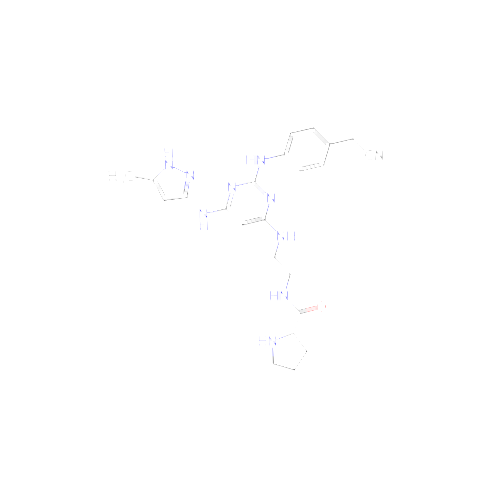 Cc1cc(Nc2cc(NCCNC(=O)[C@@H]3CCCN3)nc(Nc3ccc(CC#N)cc3)n2)n[nH]1